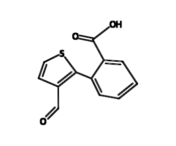 O=Cc1ccsc1-c1ccccc1C(=O)O